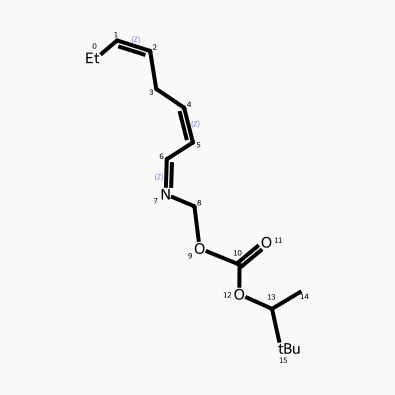 CC/C=C\C/C=C\C=N/COC(=O)OC(C)C(C)(C)C